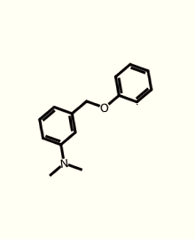 CN(C)c1cccc(COc2[c]cccc2)c1